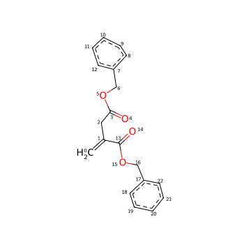 C=C(CC(=O)OCc1ccccc1)C(=O)OCc1ccccc1